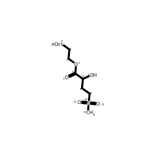 CCCCCCCCCCOC(=O)C(O)CCS(C)(=O)=O